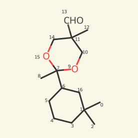 CC1(C)CCCC(C2(C)OCC(C)(C=O)CO2)C1